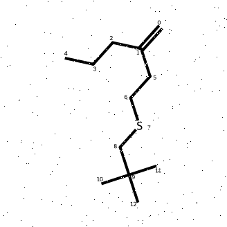 C=C(CCC)CCSCC(C)(C)C